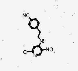 N#Cc1ccc(CCNc2cc(Cl)ncc2[N+](=O)[O-])cc1